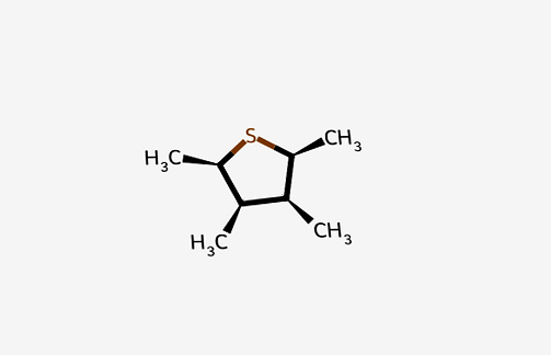 C[C@@H]1[C@H](C)[C@H](C)S[C@@H]1C